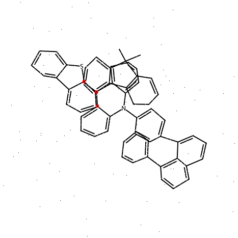 CC1(C)C2=C(CCC=C2)c2c(-c3ccccc3N(c3ccc(-c4cccc5cccc(-c6ccccc6)c45)cc3)c3ccccc3-c3cccc4c3sc3ccccc34)cccc21